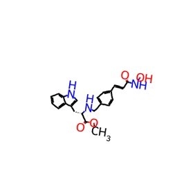 COC(=O)[C@H](Cc1c[nH]c2ccccc12)NCc1ccc(C=CC(=O)NO)cc1